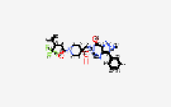 C=C(C)C(CC(=O)N1CCC(O)(Cn2cnc3c(-c4ccccc4)n(C)nc3c2=O)CC1)C(F)(F)F